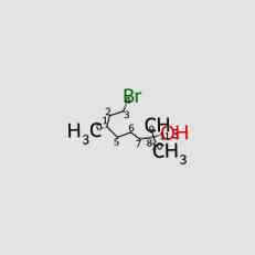 C[C@H](CCBr)CCCC(C)(C)O